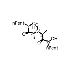 CCCCCN(O)C(=O)[C@H](C)[S+]([O-])[C@@H](C)C(=O)N(O)CCCCC